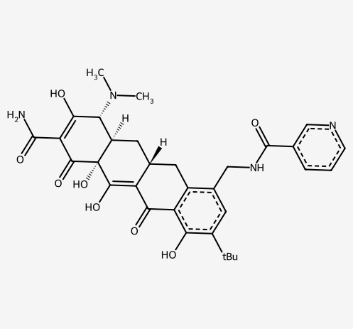 CN(C)[C@H]1C(O)=C(C(N)=O)C(=O)[C@]2(O)C(O)=C3C(=O)c4c(O)c(C(C)(C)C)cc(CNC(=O)c5cccnc5)c4C[C@H]3C[C@H]12